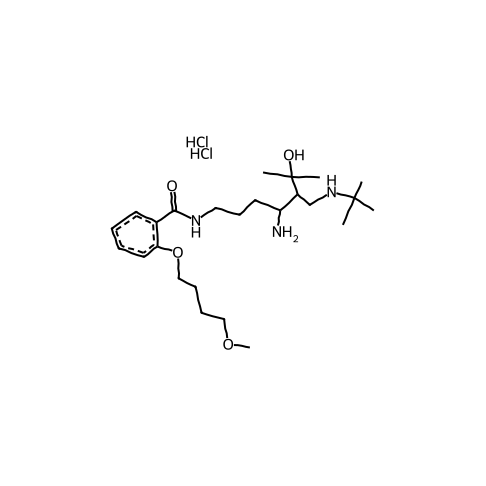 COCCCCOc1ccccc1C(=O)NCCCC(N)C(CNC(C)(C)C)C(C)(C)O.Cl.Cl